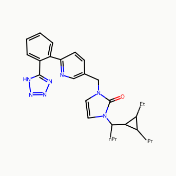 CCCC(C1C(CC)C1C(C)C)n1ccn(Cc2ccc(-c3ccccc3-c3nnn[nH]3)nc2)c1=O